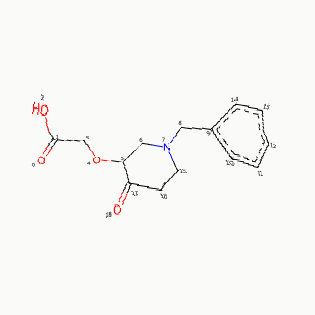 O=C(O)COC1CN(Cc2ccccc2)CCC1=O